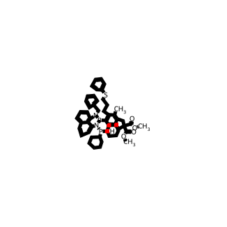 COC(=O)C1(C(=O)OC)Cc2c(C)c(CCCSc3ccccc3)c(B3N(Cc4ccccc4)c4cccc5cccc(c45)N3P(C3CCCCC3)C3CCCCC3)c(C)c2C1